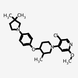 COc1cc(N2CCC(Oc3ccc(N4CCC(C)(C)C4)cc3)C(C)C2)c(Cl)cn1